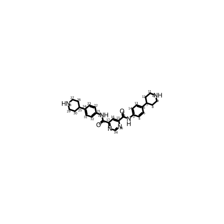 O=C(Nc1ccc(C2CCNCC2)cc1)c1cc(C(=O)Nc2ccc(C3CCNCC3)cc2)ncn1